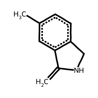 C=C1NCc2ccc(C)cc21